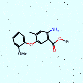 COc1ccccc1Oc1cc(C(=O)OC(C)C)c(N)cc1C